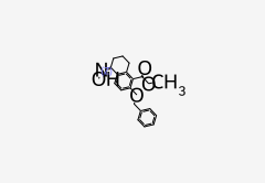 COC(=O)c1c(OCc2ccccc2)ccc2c1CCC/C2=N/O